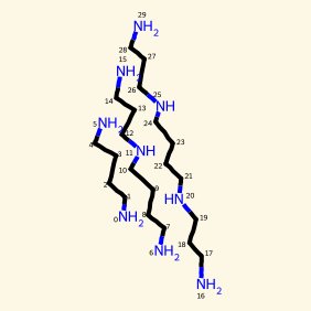 NCCCCN.NCCCCNCCCN.NCCCNCCCCNCCCN